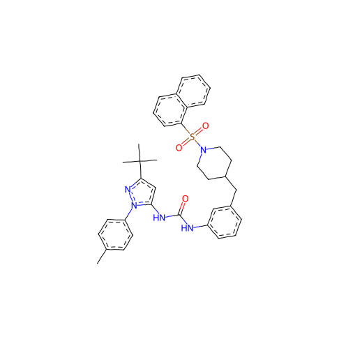 Cc1ccc(-n2nc(C(C)(C)C)cc2NC(=O)Nc2cccc(CC3CCN(S(=O)(=O)c4cccc5ccccc45)CC3)c2)cc1